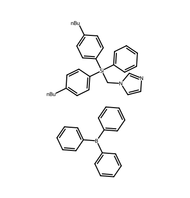 CCCCc1ccc([Si](Cn2ccnc2)(c2ccccc2)c2ccc(CCCC)cc2)cc1.c1ccc(B(c2ccccc2)c2ccccc2)cc1